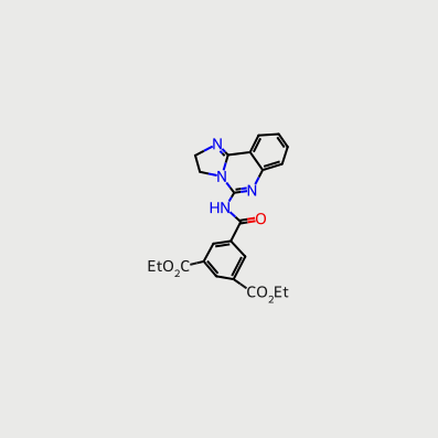 CCOC(=O)c1cc(C(=O)NC2=Nc3ccccc3C3=NCCN23)cc(C(=O)OCC)c1